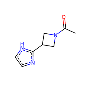 CC(=O)N1CC(c2ncc[nH]2)C1